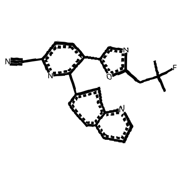 CC(C)(F)Cc1ncc(-c2ccc(C#N)nc2-c2ccc3cccnc3c2)o1